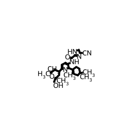 CN1C(C2CC(C)(C)OC(C)(CO)C2)=CC=C(NC(=O)C2=NC(C#N)CN2)C1C1=CCC(C)(C)CC1